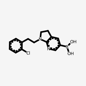 OB(O)c1cnc2c(c1)CCN2CCc1ccccc1Cl